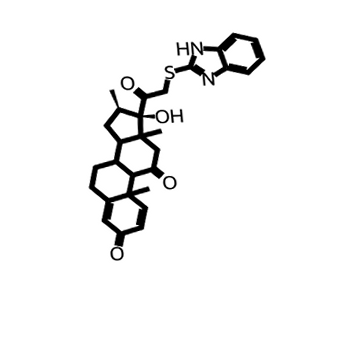 C[C@@H]1CC2C3CCC4=CC(=O)C=CC4(C)C3C(=O)CC2(C)[C@@]1(O)C(=O)CSc1nc2ccccc2[nH]1